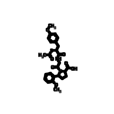 COc1ccc(CC(SC(C)=O)C(=O)NCC(=O)N2C(C(=O)O)CCC2c2ccccc2OC)cc1